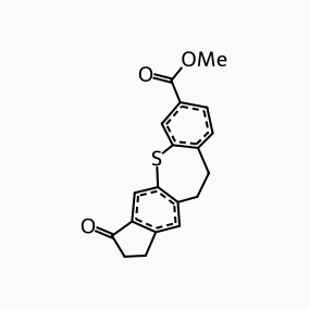 COC(=O)c1ccc2c(c1)Sc1cc3c(cc1CC2)CCC3=O